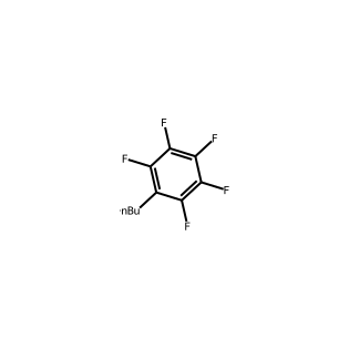 [CH2]CC[CH]c1c(F)c(F)c(F)c(F)c1F